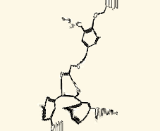 COc1cccc(-c2nc(COc3ccc(OCC(=O)O)c(C)c3)sc2-c2cccc(OC)c2)c1